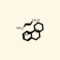 CCN1CCC23CCCCC12c1ccccc1CC3.O=C(O)/C=C/C(=O)O